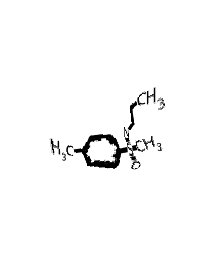 CCCN=S(C)(=O)c1ccc(C)cc1